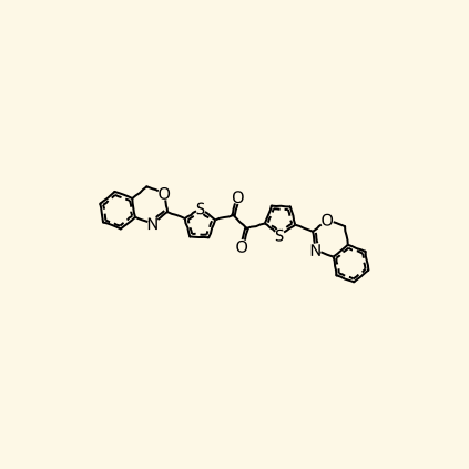 O=C(C(=O)c1ccc(C2=Nc3ccccc3CO2)s1)c1ccc(C2=Nc3ccccc3CO2)s1